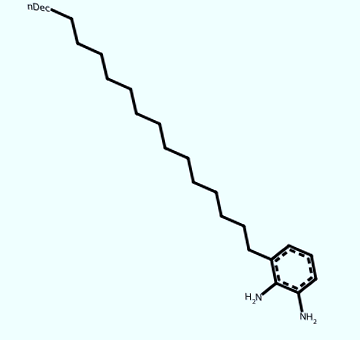 CCCCCCCCCCCCCCCCCCCCCCCCc1cccc(N)c1N